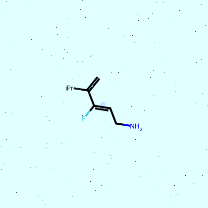 C=C(/C(F)=C/CN)C(C)C